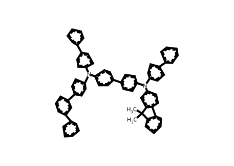 CC1(C)c2ccccc2-c2ccc(N(c3ccc(-c4ccccc4)cc3)c3ccc(-c4ccc(N(c5ccc(-c6ccccc6)cc5)c5ccc(-c6cccc(-c7ccccc7)c6)cc5)cc4)cc3)cc21